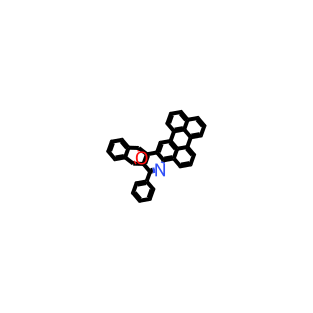 c1ccc(-c2nc3c(cc4c5cccc6cccc(c7cccc3c74)c65)c3c2C2OC3c3ccccc32)cc1